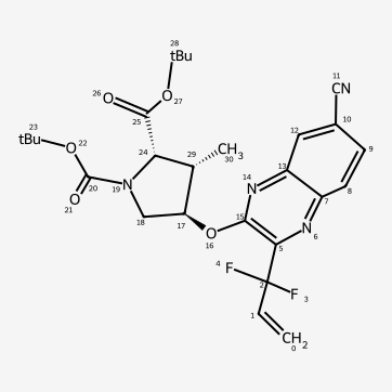 C=CC(F)(F)c1nc2ccc(C#N)cc2nc1O[C@H]1CN(C(=O)OC(C)(C)C)[C@H](C(=O)OC(C)(C)C)[C@@H]1C